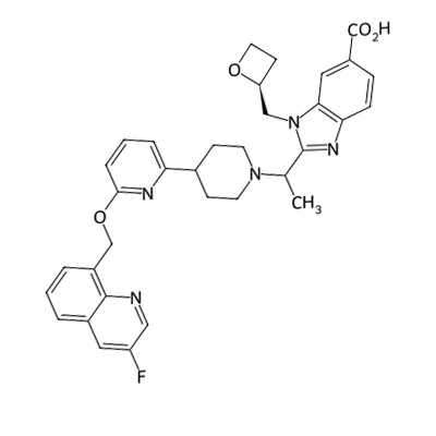 CC(c1nc2ccc(C(=O)O)cc2n1C[C@@H]1CCO1)N1CCC(c2cccc(OCc3cccc4cc(F)cnc34)n2)CC1